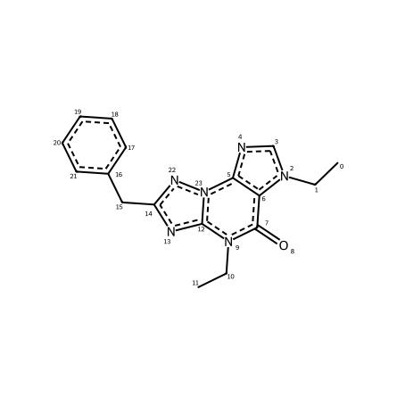 CCn1cnc2c1c(=O)n(CC)c1nc(Cc3ccccc3)nn21